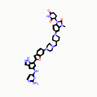 Cn1c(=O)n(C2CCC(=O)NC2=O)c2ccc(N3CCC(CN4CCN(c5ccc6cc(-c7cc(Nc8ccnc(N)n8)cc8cn[nH]c78)oc6c5)CC4)CC3)cc21